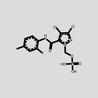 Cc1ccc(NC(=O)c2c(Cl)c(Cl)nn2COP(=O)(O)O)c(F)c1